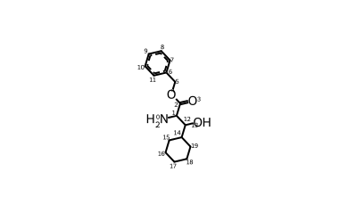 NC(C(=O)OCc1ccccc1)C(O)C1CCCCC1